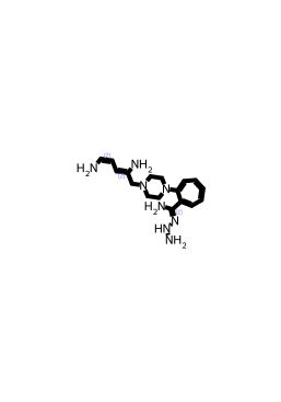 N/C=C\C=C(/N)CN1CCN(C2=CC=C=CC=C2/C(N)=N/NN)CC1